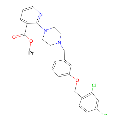 CC(C)OC(=O)c1cccnc1N1CCN(Cc2cccc(OCc3ccc(Cl)cc3Cl)c2)CC1